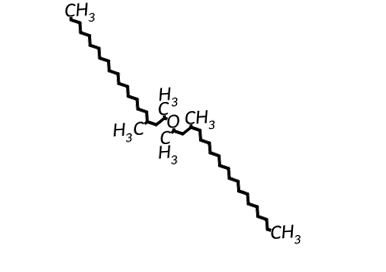 CCCCCCCCCCCCCCCCCC(C)CC(C)OC(C)CC(C)CCCCCCCCCCCCCCCCC